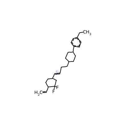 C=CC1CCC(/C=C/CCC2CCC(c3ccc(CC)cc3)CC2)CC1(F)F